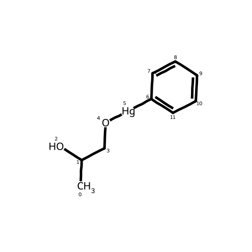 CC(O)C[O][Hg][c]1[c]cccc1